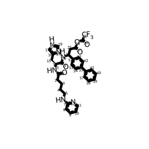 O=C(CCCCNc1ccccn1)N[C@@H](Cc1c[nH]cn1)C(=O)NC(CC(=O)OC(=O)C(F)(F)F)c1ccc(-c2ccccc2)cc1